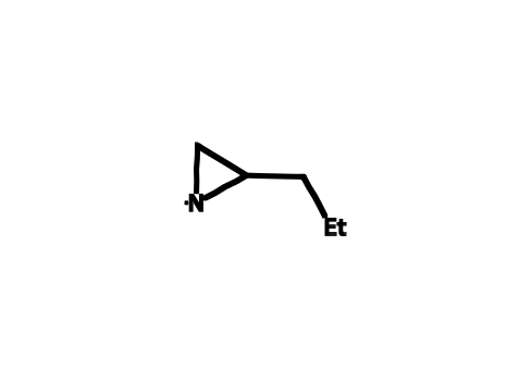 CCCC1C[N]1